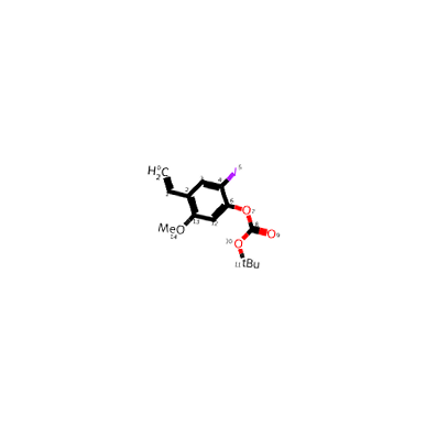 C=Cc1cc(I)c(OC(=O)OC(C)(C)C)cc1OC